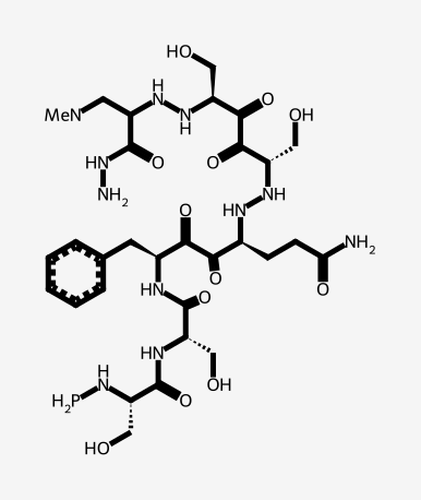 CNCC(NN[C@@H](CO)C(=O)C(=O)[C@H](CO)NN[C@@H](CCC(N)=O)C(=O)C(=O)[C@H](Cc1ccccc1)NC(=O)[C@H](CO)NC(=O)[C@H](CO)NP)C(=O)NN